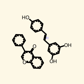 O=c1c(-c2ccccc2)coc2ccccc12.Oc1ccc(/C=C/c2cc(O)cc(O)c2)cc1